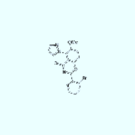 COc1ccc2oc(-c3ncccc3Br)nc(=O)c2c1-n1cccn1